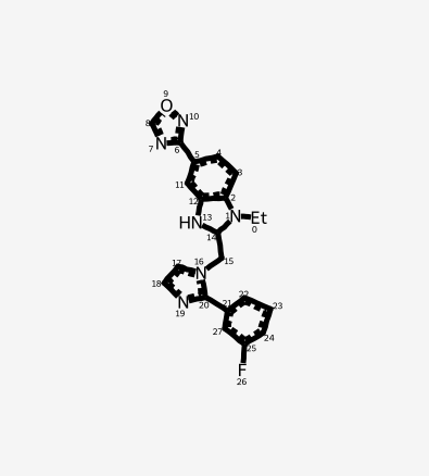 CCN1c2ccc(-c3ncon3)cc2NC1Cn1ccnc1-c1cccc(F)c1